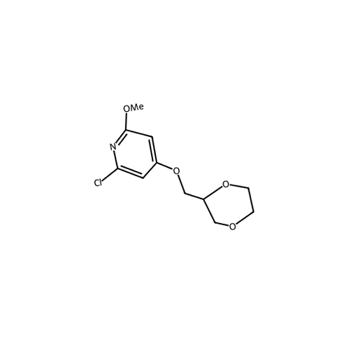 COc1cc(OCC2COCCO2)cc(Cl)n1